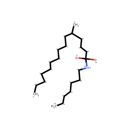 [CH2]C(CCCCCCCCCC)CCCC(Br)(Br)NCCCCCCC